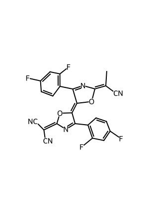 C/C(C#N)=c1\nc(-c2ccc(F)cc2F)/c(=c2\oc(=C(C#N)C#N)nc2-c2ccc(F)cc2F)o1